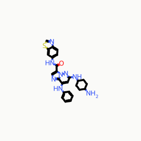 NC1CCC(Nc2cc(Nc3ccccc3)c3ncc(C(=O)Nc4ccc5ncsc5c4)n3n2)CC1